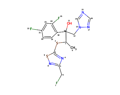 CC(Sc1nc(CF)ns1)C(O)(Cn1cncn1)c1ccc(F)cc1F